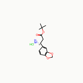 CC(C)(C)OC(=O)C[C@@H](N)c1ccc2c(c1)OCO2.Cl